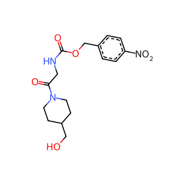 O=C(NCC(=O)N1CCC(CO)CC1)OCc1ccc([N+](=O)[O-])cc1